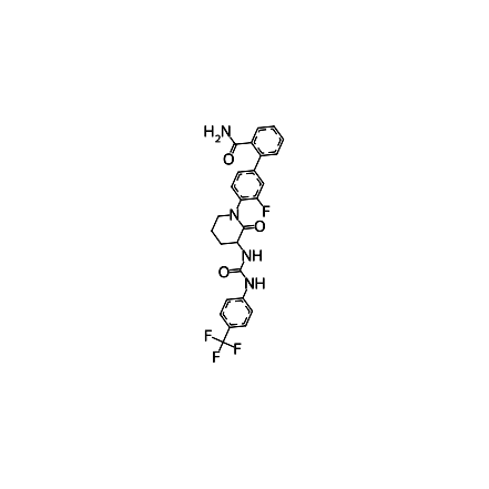 NC(=O)c1ccccc1-c1ccc(N2CCCC(NC(=O)Nc3ccc(C(F)(F)F)cc3)C2=O)c(F)c1